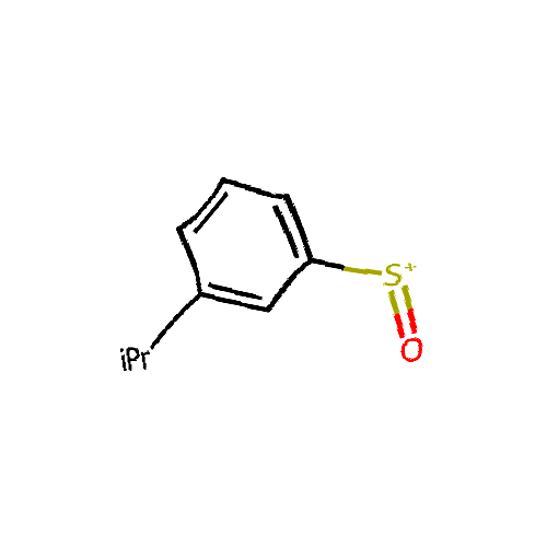 CC(C)c1cccc([S+]=O)c1